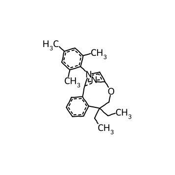 CCC1(CC)COc2cn(-c3c(C)cc(C)cc3C)c(n2)-c2ccccc21